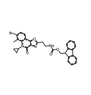 Cc1c(Br)ccc2c3oc(CCNC(=O)OCC4c5ccccc5-c5ccccc54)nc3c(=O)n(C3CC3)c12